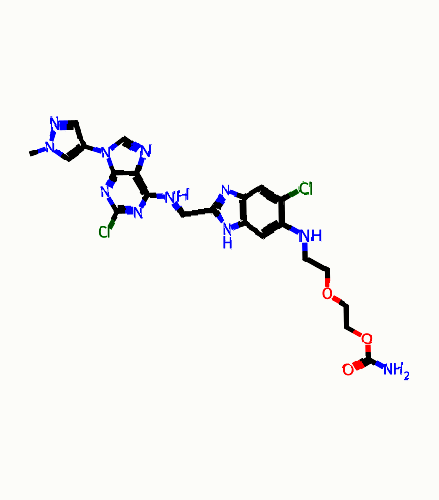 Cn1cc(-n2cnc3c(NCc4nc5cc(Cl)c(NCCOCCOC(N)=O)cc5[nH]4)nc(Cl)nc32)cn1